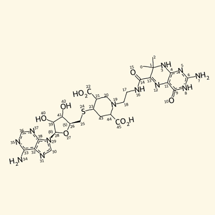 CC1(C)Nc2nc(N)[nH]c(=O)c2N=C1C(=O)NCCN1CC(C(=O)O)C(SC[C@H]2O[C@@H](n3cnc4c(N)ncnc43)C(O)C2O)CC1C(=O)O